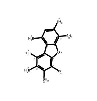 Bc1cc(B)c2c(oc3c(Br)c(B)c(B)c(B)c32)c1B